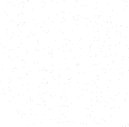 OC(c1nc(Br)cs1)c1nccnc1Cl